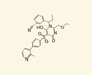 CCOCc1nc(=O)c(S(=O)(=O)c2ccc(-c3cccnc3C)cc2)c(O)n1C(CC)c1cccc(C#N)c1